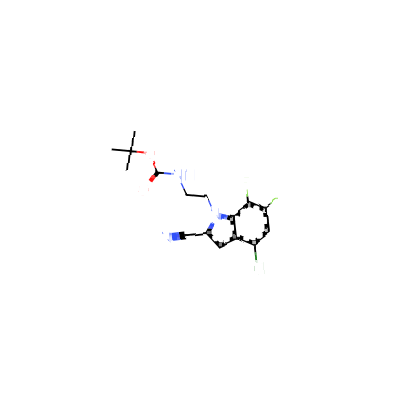 CC(C)(C)OC(=O)NCCn1c(C#N)cc2c(Cl)cc(F)c(F)c21